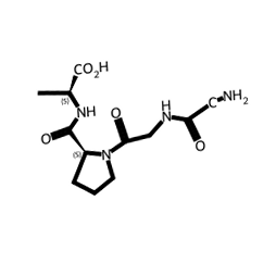 C[C@H](NC(=O)[C@@H]1CCCN1C(=O)CNC(=O)CN)C(=O)O